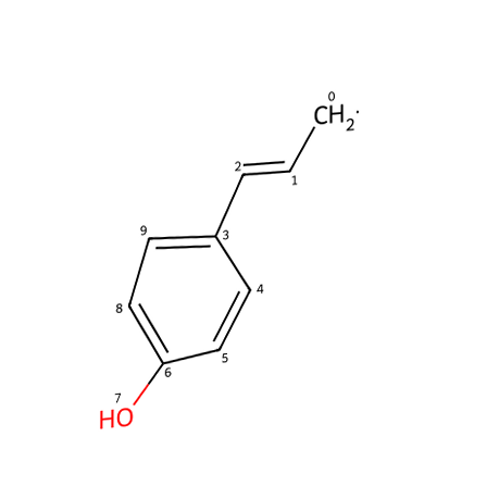 [CH2]/C=C/c1ccc(O)cc1